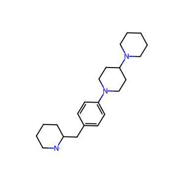 c1cc(N2CCC(N3CCCCC3)CC2)ccc1CC1CCCC[N]1